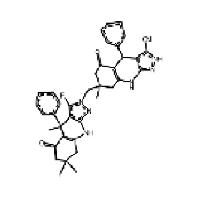 CC1(C)CC(=O)C2=C(C1)Nc1nn(CC3(C)CC(=O)C4=C(C3)Nc3n[nH]c(C#N)c3C4c3ccccc3)c(F)c1C2(C)c1ccccc1